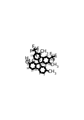 Cc1ccc2c(c1)C(c1cc(C)c(C(F)(F)F)cc1C)(c1cc(C)c(C(F)(F)F)cc1C)c1cc(C)ccc1-2